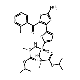 Cc1ccccc1C(=O)c1sc(N)nc1-c1ccc(P(=O)(N[C@@H](C)C(=O)OC(C)C)N[C@@H](C)C(=O)OC(C)C)o1